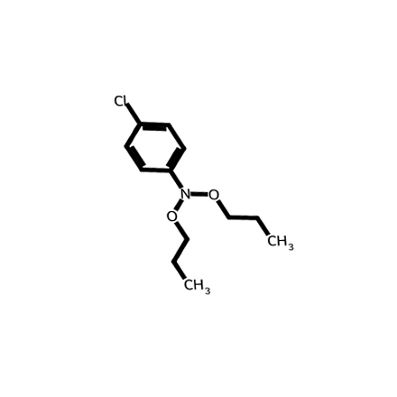 CCCON(OCCC)c1ccc(Cl)cc1